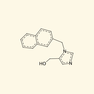 OCc1cncn1Cc1ccc2ccccc2c1